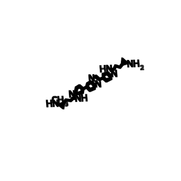 CNC1CC1CCc1nc2ccc(-c3ccc4nc(-c5ccc6nc(CCC7CC7N)[nH]c6c5)cnc4c3)cc2[nH]1